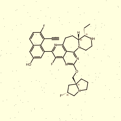 C#Cc1c(F)ccc2cc(O)cc(-c3nc4c5c(nc(OC[C@@]67CCCN6C[C@H](F)C7)nc5c3F)N3CCN[C@@H](CC)[C@H]3CC4)c12